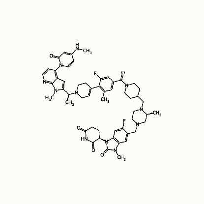 CNc1ccn(-c2ccnc3c2cc([C@H](C)N2CC=C(c4c(C)cc(C(=O)N5CCC(CN6CCN(Cc7cc8c(cc7F)n([C@@H]7CCC(=O)NC7=O)c(=O)n8C)C[C@@H]6C)CC5)cc4F)CC2)n3C)c(=O)c1